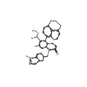 CC(=O)C(OC(C)(C)C)c1c(C)cc2c(ccc(=O)n2Cc2ccc3c(cnn3C)c2)c1-c1ccc2c3c(ccnc13)CCO2